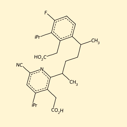 CC(C)c1cc(C#N)nc(C(C)CCC(C)c2ccc(F)c(C(C)C)c2CC(=O)O)c1CC(=O)O